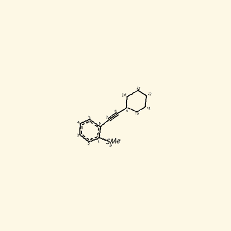 CSc1ccccc1C#CC1CCCCC1